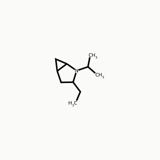 CCC1CC2CC2N1C(C)C